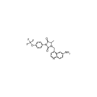 CC1C(=O)N(c2ccc(OC(F)(F)F)cc2)C(=O)N1Cc1ccnc2ccc(N)cc12